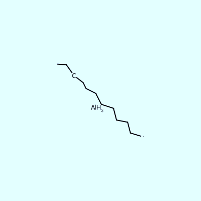 [AlH3].[CH2]CCCCCCCCCCC